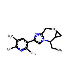 CCc1nc(-c2cc(C)c(C)nc2C)cn1C(CC)C1CC1